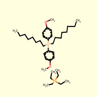 CCCCCCCC[B-](CCCCCCCC)(c1ccc(OC)cc1)c1ccc(OC)cc1.CC[P+](CC)(CC)CC